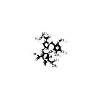 COc1cc(C)c(C)cc1CN1C[C@@H](SC2=C(C(=O)O)N3C(=O)[C@H]([C@@H](C)O)[C@H]3[C@H]2C)C[C@H]1C(=O)N(C)C